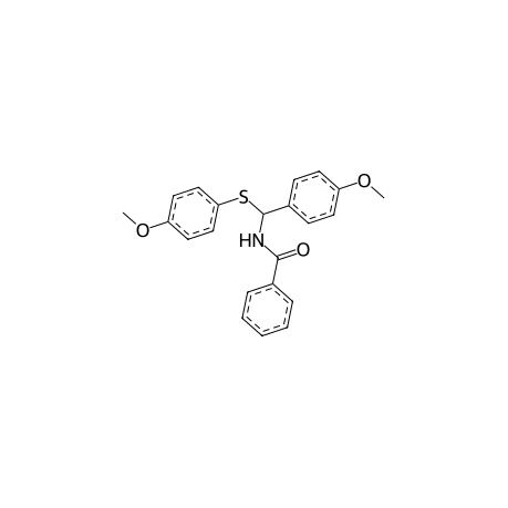 COc1ccc(SC(NC(=O)c2ccccc2)c2ccc(OC)cc2)cc1